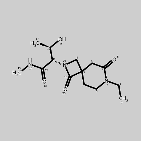 CCN1CCC2(CC1=O)CN([C@H](C(=O)NC)[C@@H](C)O)C2=O